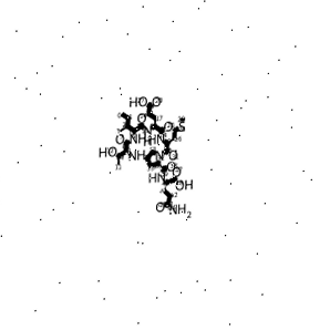 CC[C@H](C)[C@H](NC(=O)[C@@H](N)[C@@H](C)O)C(=O)N[C@@H](CCC(=O)O)C(=O)N[C@@H](CCSC)C(=O)N1CCC[C@H]1C(=O)N[C@@H](CCC(N)=O)C(=O)O